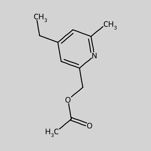 CCc1cc(C)nc(COC(C)=O)c1